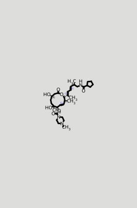 C/C(=C\C=C\[C@@H](C)CNC(=O)C1CCCC1)[C@H]1OC(=O)C[C@H](O)CC[C@@](C)(O)[C@@H](OC(=O)N2CCN(C)CC2)/C=C/[C@@H]1C